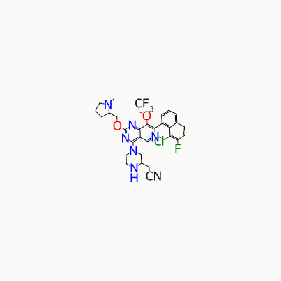 CN1CCCC1COc1nc(N2CCNC(CC#N)C2)c2cnc(-c3cccc4ccc(F)c(Cl)c34)c(OCC(F)(F)F)c2n1